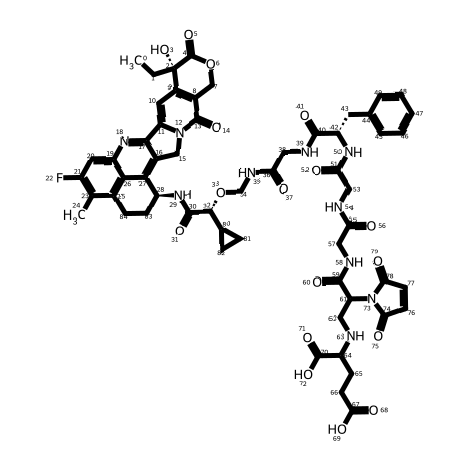 CC[C@@]1(O)C(=O)OCc2c1cc1n(c2=O)Cc2c-1nc1cc(F)c(C)c3c1c2[C@@H](NC(=O)[C@H](OCNC(=O)CNC(=O)[C@H](Cc1ccccc1)NC(=O)CNC(=O)CNC(=O)C(CNC(CCC(=O)O)C(=O)O)N1C(=O)C=CC1=O)C1CC1)CC3